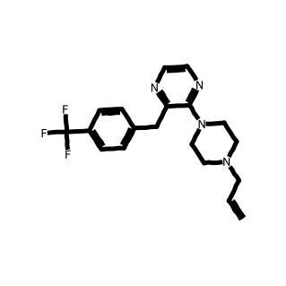 C=CCN1CCN(c2nccnc2Cc2ccc(C(F)(F)F)cc2)CC1